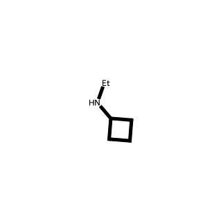 CCNC1CCC1